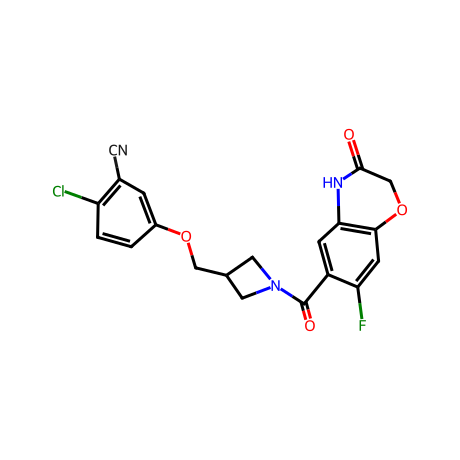 N#Cc1cc(OCC2CN(C(=O)c3cc4c(cc3F)OCC(=O)N4)C2)ccc1Cl